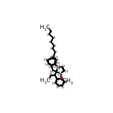 CCCCCCCCCCCN1C=CN(CC)C1(Cc1ccccc1)C(CC)c1ccccc1